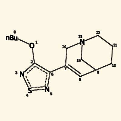 CCCCOc1nsnc1C1=CC2CCCN(C1)C2